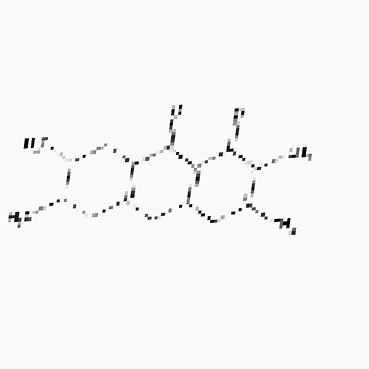 CC1=C(C)C(=O)C2=C(C1)CC1=C(CC(C)C(C)C1)C2=O